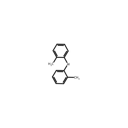 Cc1cccc[c]1[Al][c]1ccccc1C